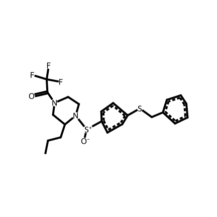 CCCC1CN(C(=O)C(F)(F)F)CCN1[S+]([O-])c1ccc(SCc2ccccc2)cc1